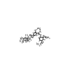 COc1ccc(CN=C2CCCCCc3cc4c(cc32)cc(CO[Si](C)(C)C(C)(C)C)n4C)c(OC)c1